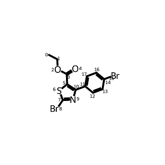 CCOC(=O)c1sc(Br)nc1-c1ccc(Br)cc1